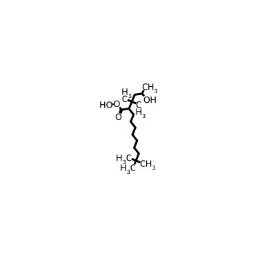 CC(O)CC(C)(C)C(CCCCCCCC(C)(C)C)C(=O)OO